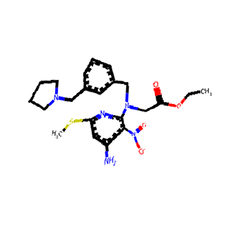 CCOC(=O)CN(Cc1cccc(CN2CCCC2)c1)c1nc(SC)cc(N)c1[N+](=O)[O-]